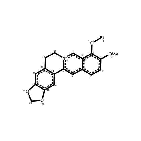 CCOc1c(OC)ccc2cc3[n+](cc12)CCc1cc2c(cc1-3)OCO2